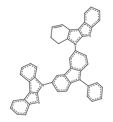 C1=Cc2c(n(-c3ccc4c(c3)c3cc(-n5c6ccccc6c6c7ccccc7sc65)ccc3n4-c3ccccc3)c3sc4ccccc4c23)CC1